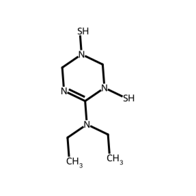 CCN(CC)C1=NCN(S)CN1S